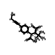 CC(C)(C)C(N(C(=O)O)c1ccc(C#CCO)cc1)=S(=O)=O